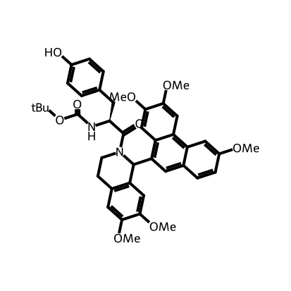 COc1ccc2cc(C3c4cc(OC)c(OC)cc4CCN3C(=O)[C@H](Cc3ccc(O)cc3)NC(=O)OC(C)(C)C)c3cc(OC)c(OC)cc3c2c1